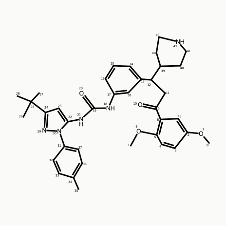 COc1ccc(OC)c(C(=O)CC(c2cccc(NC(=O)Nc3cc(C(C)(C)C)nn3-c3ccc(C)cc3)c2)C2CCNCC2)c1